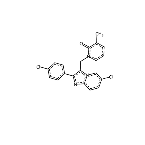 Cc1cccn(Cc2c(-c3ccc(Cl)cc3)nc3ccc(Cl)cn23)c1=O